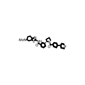 CN[C@H]1CCc2nc(NC(=O)c3cccc([C@H]4CCCN4C(=O)c4ccc(-c5ccncc5)cc4)c3)sc2C1